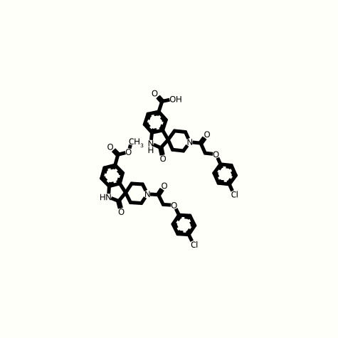 COC(=O)c1ccc2c(c1)C1(CCN(C(=O)COc3ccc(Cl)cc3)CC1)C(=O)N2.O=C(O)c1ccc2c(c1)C1(CCN(C(=O)COc3ccc(Cl)cc3)CC1)C(=O)N2